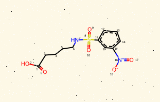 O=C(O)CCCCNS(=O)(=O)c1cccc([N+](=O)[O-])c1